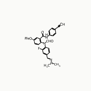 C#Cc1ccc(NC(=O)c2cc(OC)ccc2N(C=O)c2ccc(C=NN(C)C)cc2F)cc1